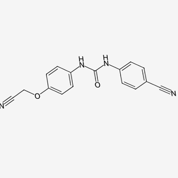 N#CCOc1ccc(NC(=O)Nc2ccc(C#N)cc2)cc1